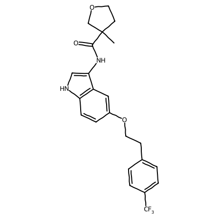 CC1(C(=O)Nc2c[nH]c3ccc(OCCc4ccc(C(F)(F)F)cc4)cc23)CCOC1